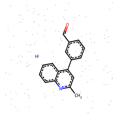 Cc1cc(-c2cccc(C=O)c2)c2ccccc2n1.I